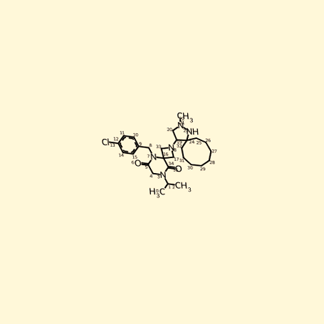 CC(C)N1CC(=O)N(Cc2ccc(Cl)cc2)C2(CN(C3CN(C)NC34CCCCCCCC4)C2)C1=O